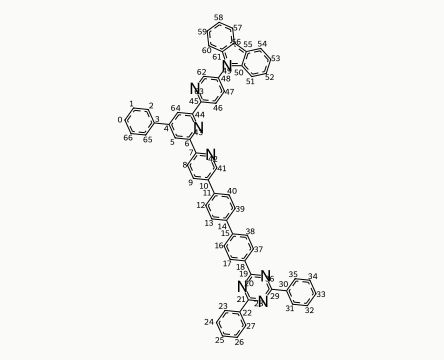 c1ccc(-c2cc(-c3ccc(-c4ccc(-c5ccc(-c6nc(-c7ccccc7)nc(-c7ccccc7)n6)cc5)cc4)cn3)nc(-c3ccc(-n4c5ccccc5c5ccccc54)cn3)c2)cc1